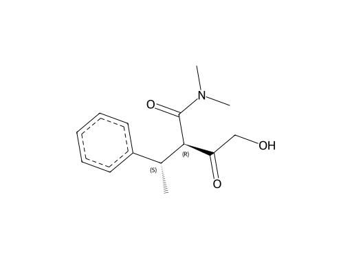 C[C@H](c1ccccc1)[C@H](C(=O)CO)C(=O)N(C)C